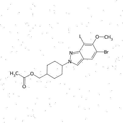 COc1c(Br)cc2cn(C3CCC(COC(C)=O)CC3)nc2c1I